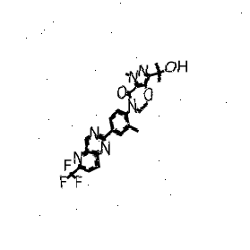 Cc1cc(-c2ncc3nc(C(F)(F)F)ccc3n2)ccc1N1CCOc2c(C(C)(C)O)nn(C)c2C1=O